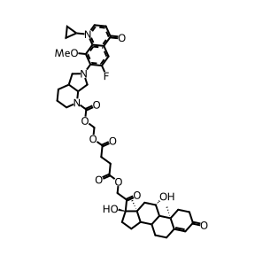 COc1c(N2CC3CCCN(C(=O)OCOC(=O)CCC(=O)OCC(=O)[C@@]4(O)CCC5C6CCC7=CC(=O)CC[C@]7(C)C6[C@@H](O)C[C@@]54C)C3C2)c(F)cc2c(=O)ccn(C3CC3)c12